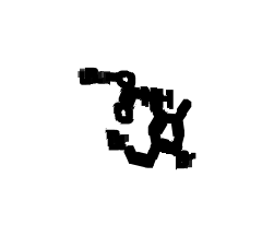 Cc1cc(Br)c(/C=C\Br)cc1NC(=O)OC(C)(C)C